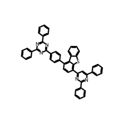 c1ccc(-c2cc(-c3ccc(-c4ccc(-c5nc(-c6ccccc6)nc(-c6ccccc6)n5)cc4)c4c3sc3ccccc34)nc(-c3ccccc3)n2)cc1